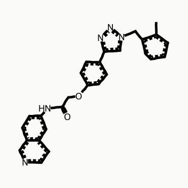 Cc1ccccc1Cn1cc(-c2ccc(OCC(=O)Nc3ccc4cnccc4c3)cc2)nn1